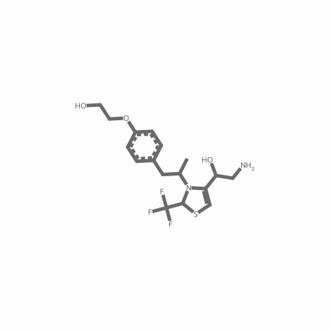 CC(Cc1ccc(OCCO)cc1)N1C(C(O)CN)=CSC1C(F)(F)F